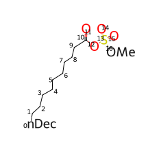 CCCCCCCCCCCCCCCCCCCC(=O)OS(=O)(=O)OC